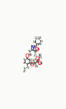 CCCc1ccc(OCCc2nc(C3CCCCC3)oc2C)cc1OC(C)(C)C(=O)OCC